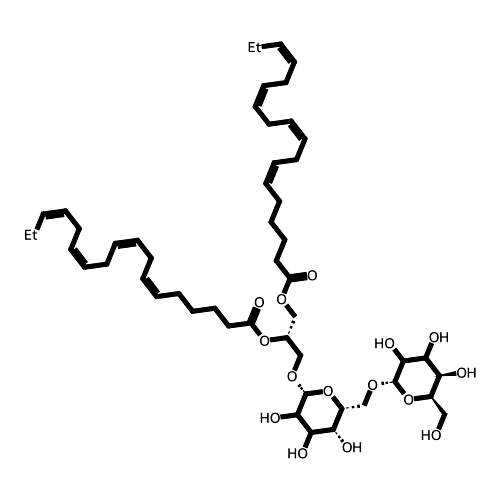 CC/C=C\C/C=C\C/C=C\C/C=C\CCCCC(=O)OC[C@H](CO[C@@H]1O[C@H](CO[C@H]2O[C@H](CO)[C@H](O)C(O)C2O)[C@H](O)C(O)C1O)OC(=O)CCCC/C=C\C/C=C\C/C=C\C/C=C\CC